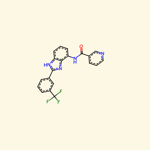 O=C(Nc1cccc2[nH]c(-c3cccc(C(F)(F)F)c3)nc12)c1cccnc1